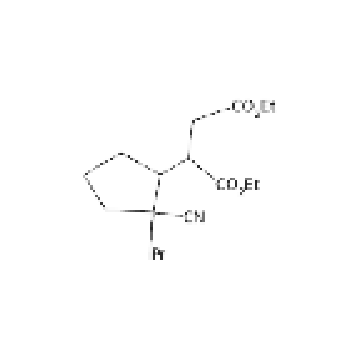 CCOC(=O)CC(C(=O)OCC)C1CCCC1(C#N)C(C)C